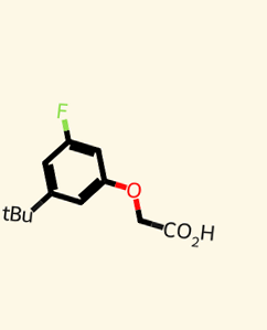 CC(C)(C)c1cc(F)cc(OCC(=O)O)c1